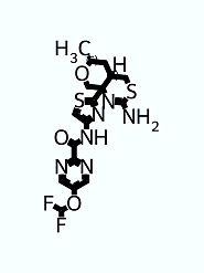 C[C@H]1C[C@H]2CSC(N)=NC2(c2nc(NC(=O)c3ncc(OC(F)F)cn3)cs2)CO1